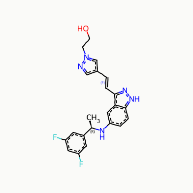 C[C@@H](Nc1ccc2[nH]nc(/C=C/c3cnn(CCO)c3)c2c1)c1cc(F)cc(F)c1